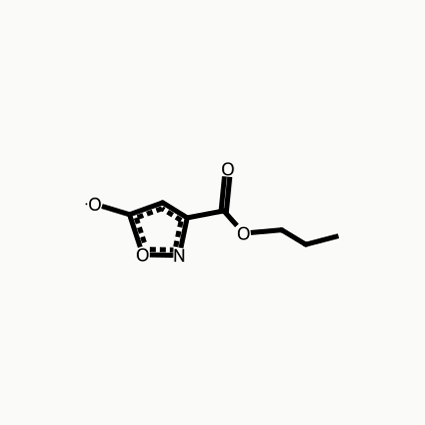 CCCOC(=O)c1cc([O])on1